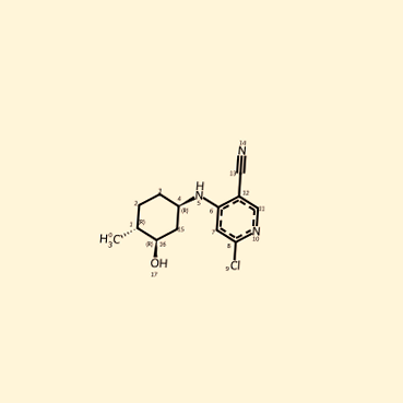 C[C@@H]1CC[C@@H](Nc2cc(Cl)ncc2C#N)C[C@H]1O